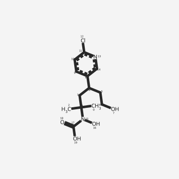 CC(C)(CC(CCO)c1ccc(Cl)nc1)N(O)C(=O)O